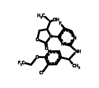 C[C@H](Nc1ncc(F)c(N2C(=O)OCC2[C@@H](C)O)n1)c1cnc(OCC(F)(F)F)c(Cl)c1